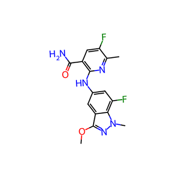 COc1nn(C)c2c(F)cc(Nc3nc(C)c(F)cc3C(N)=O)cc12